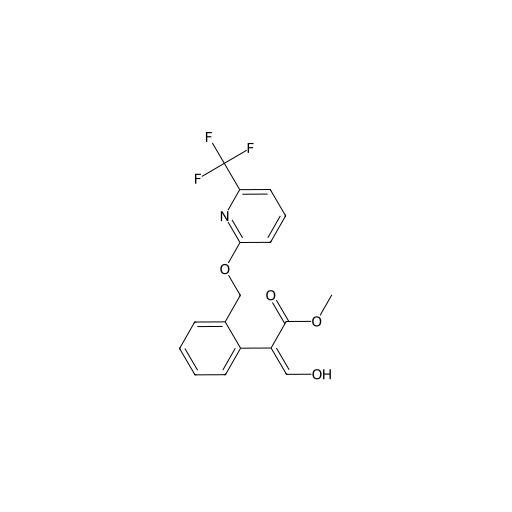 COC(=O)C(=CO)c1ccccc1COc1cccc(C(F)(F)F)n1